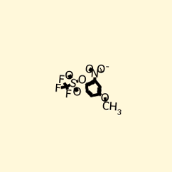 COc1ccc(OS(=O)(=O)C(F)(F)F)c([N+](=O)[O-])c1